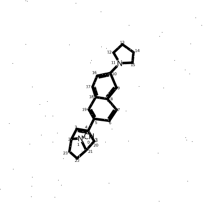 CN1C2C=C(c3ccc4cc(N5CCCC5)ccc4c3)CC1CC2